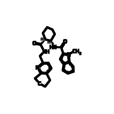 Cn1c(C(=O)N[C@H]2CCCC[C@H]2C(=O)NCc2ccc3c(n2)CCCC3)cc2ccccc21